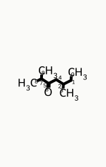 CCC(C)CC(=O)C(C)C